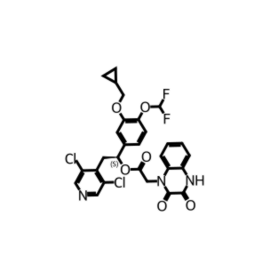 O=C(Cn1c(=O)c(=O)[nH]c2ccccc21)O[C@@H](Cc1c(Cl)cncc1Cl)c1ccc(OC(F)F)c(OCC2CC2)c1